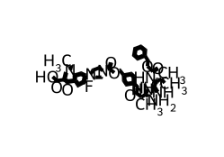 CCn1cc(C(=O)O)c(=O)c2cc(F)c(N3CCN(C(=O)OCc4ccc(NC(=O)C(C)C(N)NC(=N)[C@@H](NC(=O)OCc5ccccc5)C(C)C)cc4)CC3)cc21